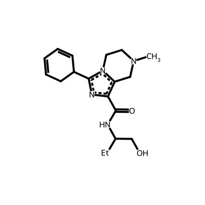 CCC(CO)NC(=O)c1nc(C2C=CC=CC2)n2c1CN(C)CC2